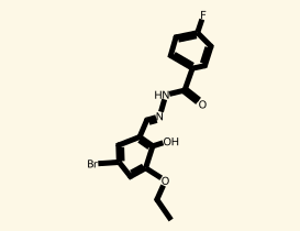 CCOc1cc(Br)cc(/C=N/NC(=O)c2ccc(F)cc2)c1O